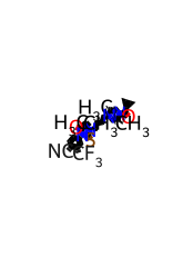 C[C@@H]1CN(C(=O)C2CC2)[C@@H](C)CN1CCCCN1C(=S)N(c2ccc(C#N)c(C(F)(F)F)c2)C(=O)C1(C)C